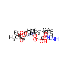 CC[C@H](O)[C@@H](C)[C@H]1O[C@@H]1CC(C)(O)/C=C/C=C(\C)C1OC(=O)CC(O)CCC(C)(OC(=O)N2CCNCC2)C(OC(C)=O)C=CC1C